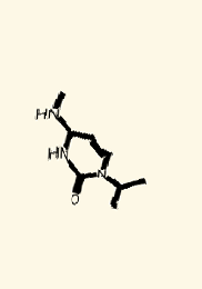 CNC1C=CN(C(C)C)C(=O)N1